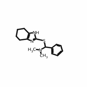 CN(C)C(Sc1nc2c([nH]1)CCCC2)c1ccccc1